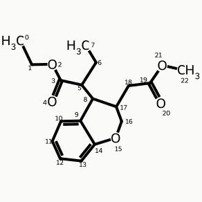 CCOC(=O)C(CC)C1c2ccccc2OCC1CC(=O)OC